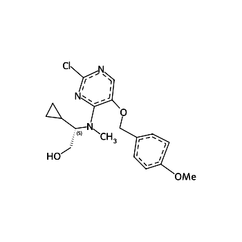 COc1ccc(COc2cnc(Cl)nc2N(C)[C@H](CO)C2CC2)cc1